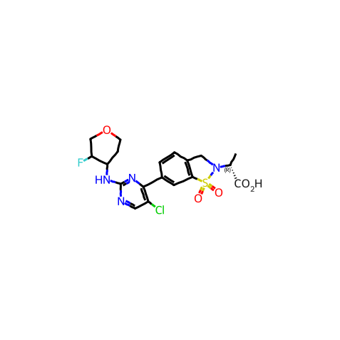 C[C@H](C(=O)O)N1Cc2ccc(-c3nc(NC4CCOCC4F)ncc3Cl)cc2S1(=O)=O